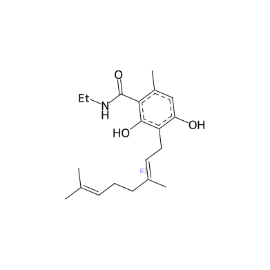 CCNC(=O)c1c(C)cc(O)c(C/C=C(\C)CCC=C(C)C)c1O